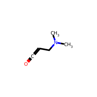 CN(C)CC=C=O